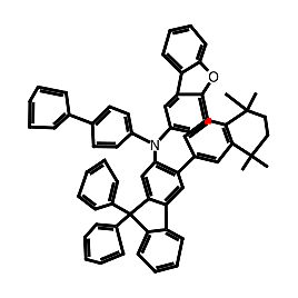 CC1(C)CCC(C)(C)c2cc(-c3cc4c(cc3N(c3ccc(-c5ccccc5)cc3)c3ccc5oc6ccccc6c5c3)C(c3ccccc3)(c3ccccc3)c3ccccc3-4)ccc21